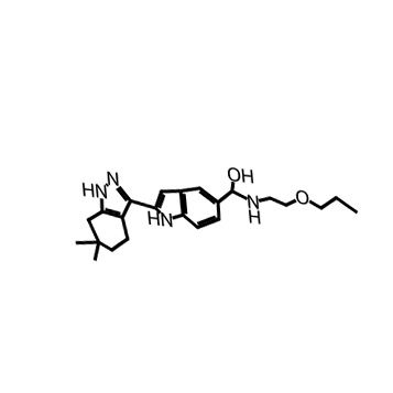 CCCOCCNC(O)c1ccc2[nH]c(-c3n[nH]c4c3CCC(C)(C)C4)cc2c1